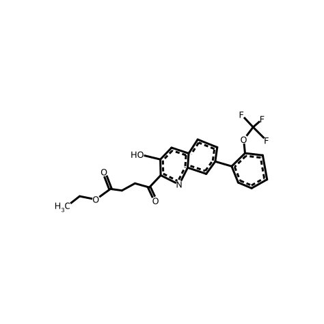 CCOC(=O)CCC(=O)c1nc2cc(-c3ccccc3OC(F)(F)F)ccc2cc1O